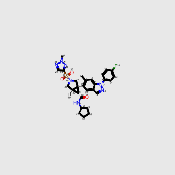 Cc1cc2c(cnn2-c2ccc(F)cc2)cc1[C@@]12CN(S(=O)(=O)c3cnn(C)n3)C[C@@H]1[C@H]2C(=O)NC1CCCC1